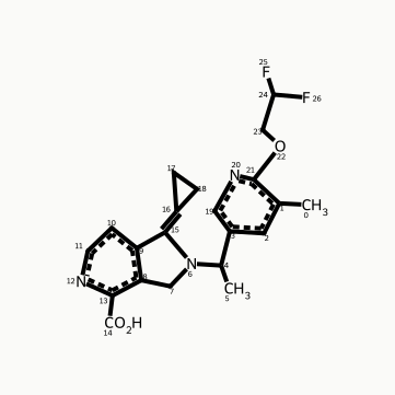 Cc1cc(C(C)N2Cc3c(ccnc3C(=O)O)C2=C2CC2)cnc1OCC(F)F